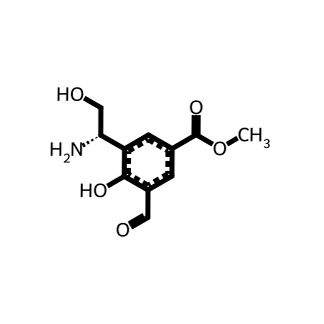 COC(=O)c1cc(C=O)c(O)c([C@H](N)CO)c1